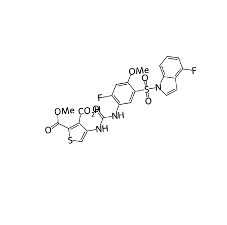 COC(=O)c1scc(NC(=O)Nc2cc(S(=O)(=O)n3ccc4c(F)cccc43)c(OC)cc2F)c1C(=O)O